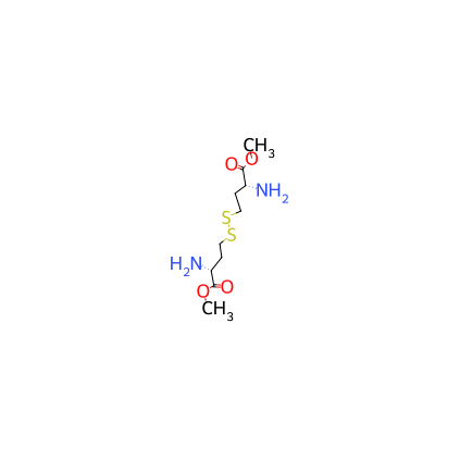 COC(=O)[C@H](N)CCSSCC[C@@H](N)C(=O)OC